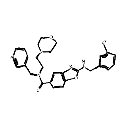 O=C(c1ccc2oc(NCc3cccc(Cl)c3)nc2c1)N(CCN1CCOCC1)Cc1cccnc1